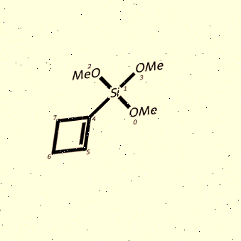 CO[Si](OC)(OC)C1=CCC1